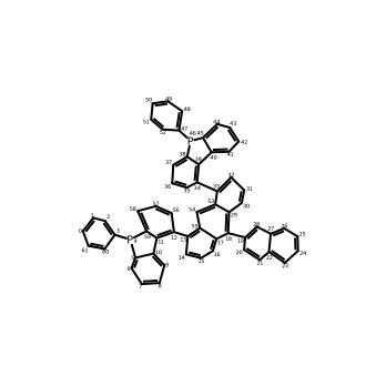 c1ccc(-p2c3ccccc3c3c(-c4cccc5c(-c6ccc7ccccc7c6)c6cccc(-c7cccc8c7c7ccccc7p8-c7ccccc7)c6cc45)cccc32)cc1